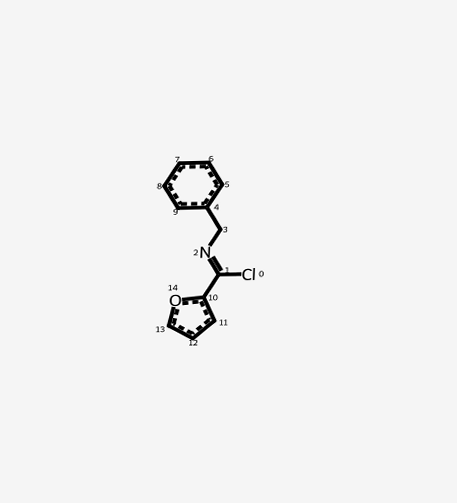 ClC(=NCc1ccccc1)c1ccco1